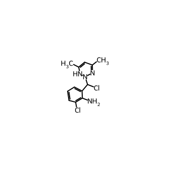 CC1=CC(C)=NN(C(Cl)c2cccc(Cl)c2N)N1